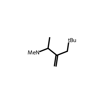 C=C(CC(C)(C)C)C(C)NC